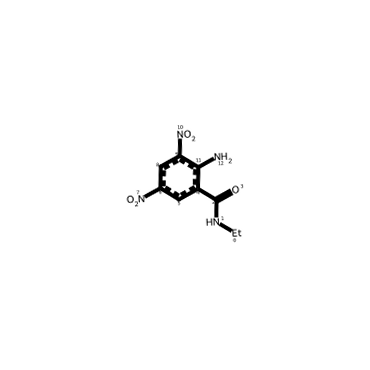 CCNC(=O)c1cc([N+](=O)[O-])cc([N+](=O)[O-])c1N